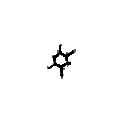 Cc1cn(C)c(=S)[nH]c1=O